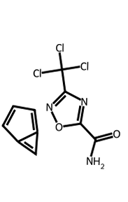 NC(=O)c1nc(C(Cl)(Cl)Cl)no1.c1cc2cc-2c1